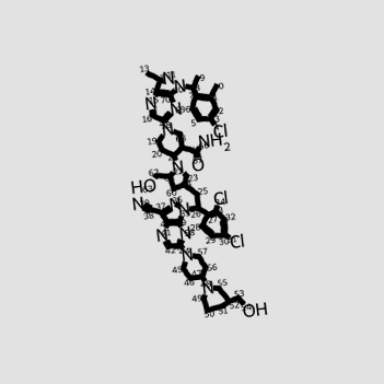 Cc1cc(Cl)ccc1C(C)n1nc(C)c2ncc(N3CCC(N4CC(CC(c5ccc(Cl)cc5Cl)n5nc(C#N)c6ncc(N7CCC(N8CCCC(CO)C8)CC7)nc65)CC4CO)C(C(N)=O)C3)nc21